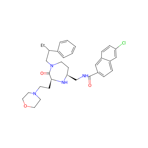 CCC(CN1CC[C@@H](CNC(=O)c2ccc3cc(Cl)ccc3c2)N[C@@H](CCN2CCOCC2)C1=O)c1ccccc1